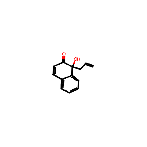 C=CCC1(O)C(=O)C=Cc2ccccc21